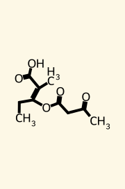 CCC(OC(=O)CC(C)=O)=C(C)C(=O)O